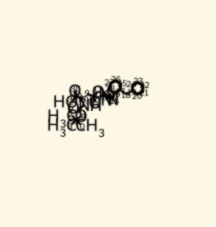 CC(C)(C)OC(=O)N[C@@H](CC(=O)On1nnc2c(Cc3ccccc3)cccc21)C(=O)O